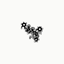 Cc1ccccc1CN1C(=O)[C@H]2N(C(=O)[C@@H](O)[C@H](Cc3ccccc3)NC(=O)O[C@@H]3CCS[C@@H]3C(C)C)CSC21C